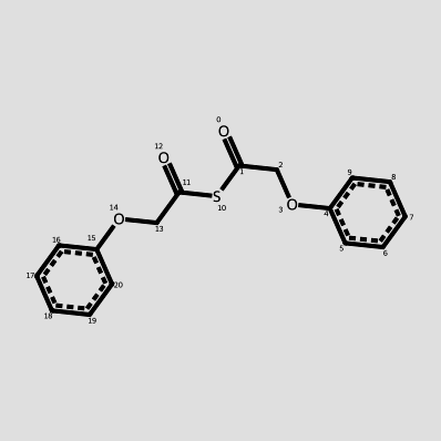 O=C(COc1ccccc1)SC(=O)COc1ccccc1